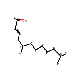 CC(=O)C=CCC(C)CCCCCC(C)C